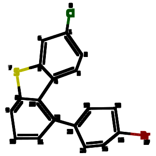 Clc1ccc2c(c1)sc1cccc(-c3ccc(Br)cc3)c12